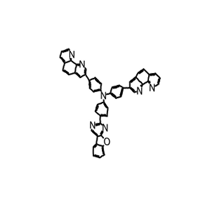 c1cnc2c(c1)ccc1cc(-c3ccc(N(c4ccc(-c5cnc6c(ccc7cccnc76)c5)cc4)c4ccc(-c5ncc6c(n5)oc5ccccc56)cc4)cc3)cnc12